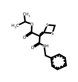 CC(C)OC(=O)C(C(=O)NCc1ccccc1)=C1SCS1